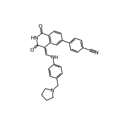 N#Cc1ccc(-c2ccc3c(c2)/C(=C\Nc2ccc(CN4CCCC4)cc2)C(=O)NC3=O)cc1